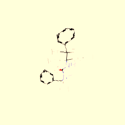 CCC(CC)(c1ccccc1)C(NC(=O)N[C@H](C)c1ccccc1)(C(=O)O)C(=O)O